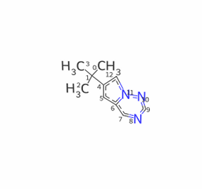 CC(C)(C)c1cc2cncnn2c1